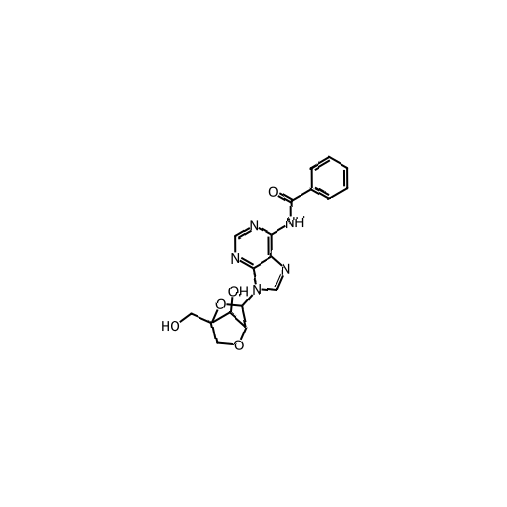 O=C(Nc1ncnc2c1ncn2C1OC2(CO)COC1C2O)c1ccccc1